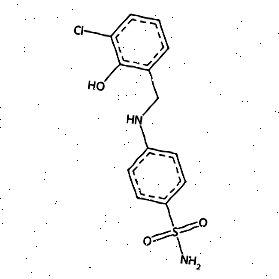 NS(=O)(=O)c1ccc(NCc2cccc(Cl)c2O)cc1